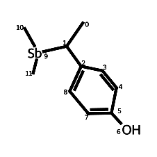 C[CH](c1ccc(O)cc1)[Sb]([CH3])[CH3]